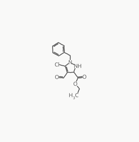 CCOC(=O)C1NN(Cc2ccccc2)C(Cl)=C1C=O